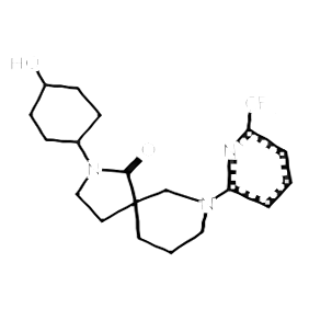 O=C1N(C2CCC(O)CC2)CCC12CCCN(c1cccc(C(F)(F)F)n1)C2